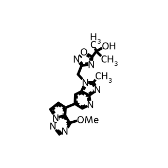 COc1ncnn2ccc(-c3cnc4nc(C)n(Cc5noc(C(C)(C)O)n5)c4c3)c12